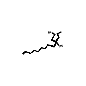 CCCCCCCCCC(O)(CCC)CCO